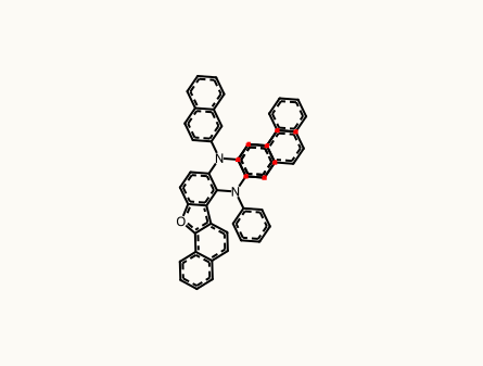 c1ccc(-c2cccc(N(c3ccc4ccccc4c3)c3ccc4oc5c6ccccc6ccc5c4c3N(c3ccccc3)c3ccc4ccccc4c3)c2)cc1